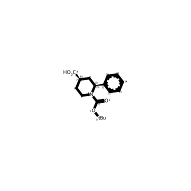 CC(C)(C)OC(=O)N1CC[C@@H](C(=O)O)C[C@H]1c1ccccc1